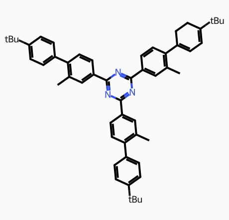 Cc1cc(-c2nc(-c3ccc(-c4ccc(C(C)(C)C)cc4)c(C)c3)nc(-c3ccc(-c4ccc(C(C)(C)C)cc4)c(C)c3)n2)ccc1C1=CC=C(C(C)(C)C)CC1